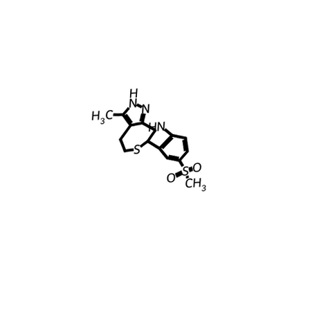 Cc1[nH]nc2c1CCSC1c3cc(S(C)(=O)=O)ccc3NC21